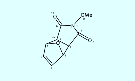 CON1C(=O)C2C3C=CC(O3)C2C1=O